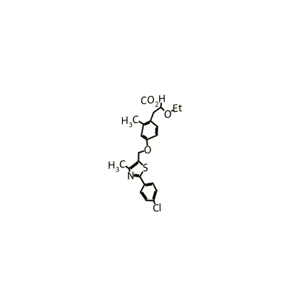 CCOC(Cc1ccc(OCc2sc(-c3ccc(Cl)cc3)nc2C)cc1C)C(=O)O